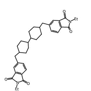 CCN1C(=O)c2ccc(CC3CCC(C4CCC(Cc5ccc6c(c5)C(=O)N(CC)C6=O)CC4)CC3)cc2C1=O